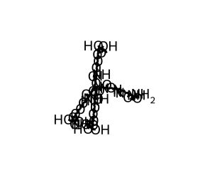 CCC1OC(OCCOCCOCCNC(=O)CCOCC(COCCC(=O)NCCOCCOCCOC2OC(CO)C(O)C(O)C2C)(COCCC(=O)NCCOCCOCCOC2OC(CO)C(O)C(O)C2C)NC(=O)CNC(=O)COCCn2cc(CCCC(=O)NC3(C(N)=O)CC3)nn2)C(C)C(O)C1O